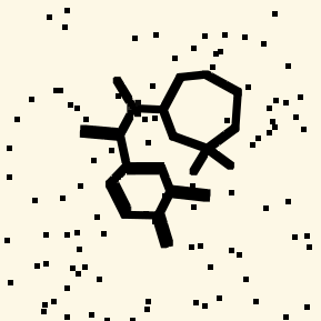 C=C(c1ccc(=C)c(=C)c1)N(C)C1CCCCC(C)(C)C1